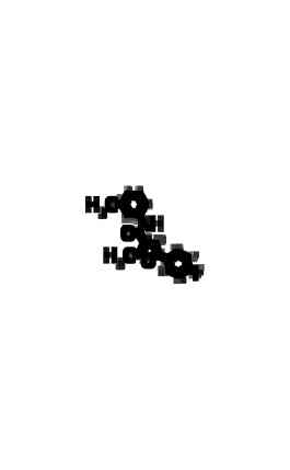 Cc1cccc(NC(=O)c2cc(-c3ccc(F)cc3)oc2C)c1